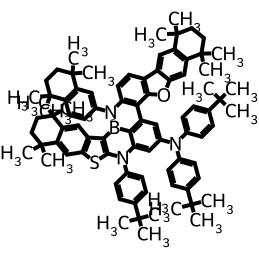 CC(C)(C)c1ccc(N(c2ccc(C(C)(C)C)cc2)c2cc3c4c(c2)N(c2ccc(C(C)(C)C)cc2)c2sc5cc6c(cc5c2B4N(c2ccc4c(c2)C(C)(C)CCC4(C)C)c2ccc4c(oc5cc7c(cc54)C(C)(C)CCC7(C)C)c2-3)C(C)(C)CCC6(C)C)cc1